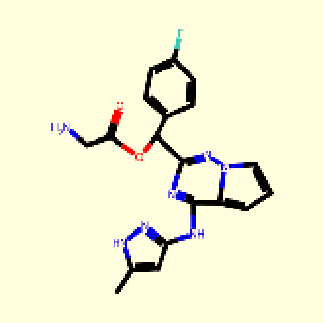 Cc1cc(Nc2nc(C(OC(=O)CN)c3ccc(F)cc3)nn3cccc23)n[nH]1